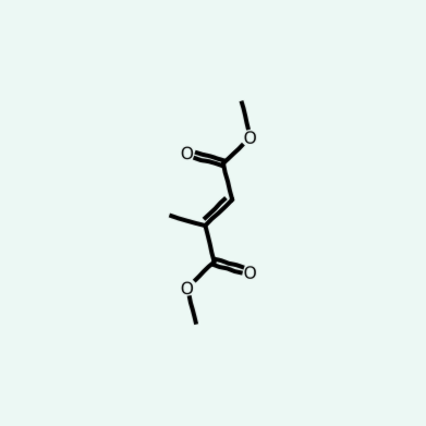 COC(=O)/C=C(\C)C(=O)OC